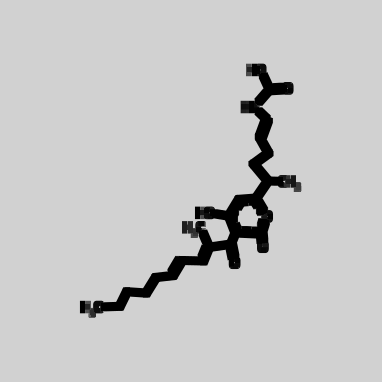 CCCCC/C=C/C=C(\C)C(=O)c1c(O)cc(C(C)CC/C=C/NC(=O)O)oc1=O